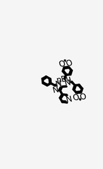 CCCCn1c(-c2ccccc2)nc(-c2cccnc2)c1CN(Cc1ccc2c(c1)OCO2)Cc1ccc2c(c1)OCO2